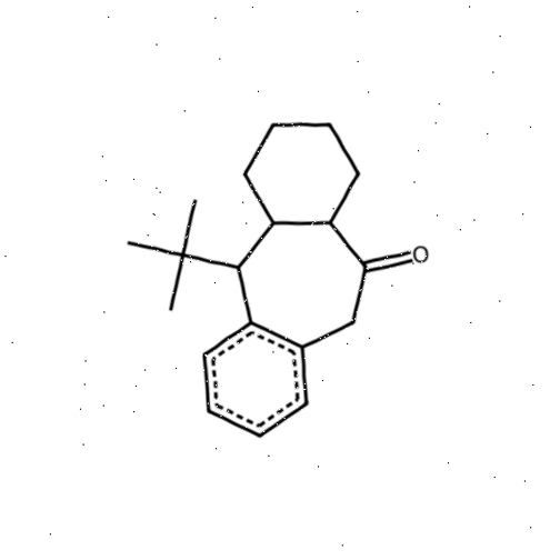 CC(C)(C)C1c2ccccc2CC(=O)C2CCCCC21